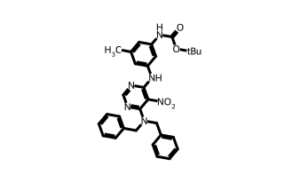 Cc1cc(NC(=O)OC(C)(C)C)cc(Nc2ncnc(N(Cc3ccccc3)Cc3ccccc3)c2[N+](=O)[O-])c1